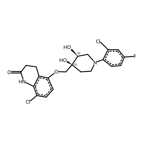 O=C1CCc2c(OC[C@@]3(O)CCN(c4ccc(F)cc4Cl)C[C@@H]3O)ccc(Cl)c2N1